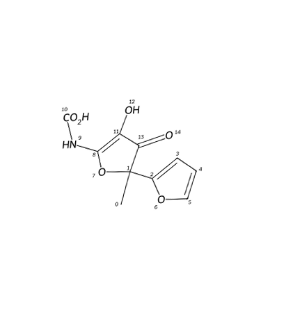 CC1(c2ccco2)OC(NC(=O)O)=C(O)C1=O